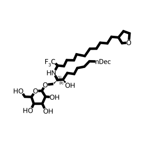 CCCCCCCCCCCCCCC[C@@H](O)[C@H](COC1OC(CO)C(O)C(O)C1O)NC(CCCCCCCCCCC1CCOC1)C(F)(F)F